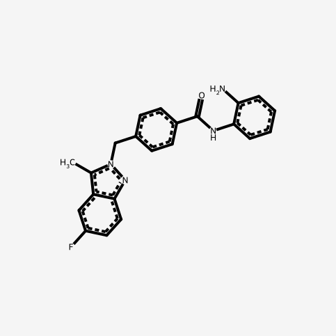 Cc1c2cc(F)ccc2nn1Cc1ccc(C(=O)Nc2ccccc2N)cc1